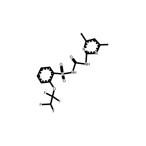 Cc1cc(C)nc(NC(=O)NS(=O)(=O)c2ccccc2OC(F)(F)C(F)F)n1